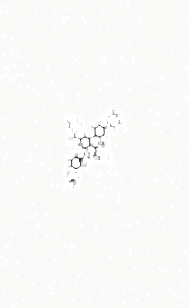 CCOC(=O)c1cc(-c2ccc(N3CCOCC3)cc2)c(C(=N)C(C)C)c(Nc2cccc(OC(F)(F)F)c2)n1